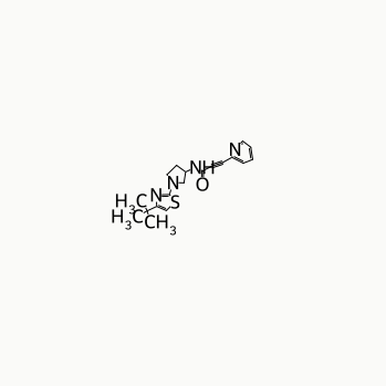 CC(C)(C)c1csc(N2CCC(NC(=O)C#Cc3ccccn3)C2)n1